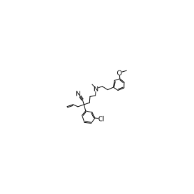 C=CCC(C#N)(CCCN(C)CCc1cccc(OC)c1)c1cccc(Cl)c1